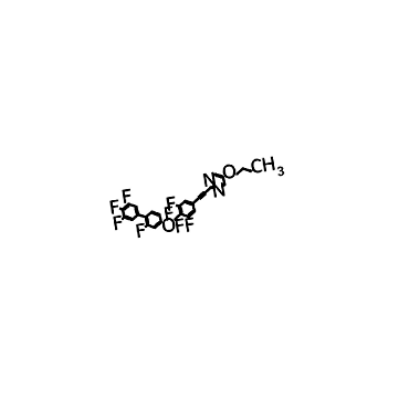 CCCCOc1cnc(C#Cc2cc(F)c(C(F)(F)Oc3ccc(-c4cc(F)c(F)c(F)c4)c(F)c3)c(F)c2)nc1